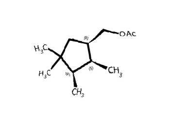 CC(=O)OC[C@@H]1CC(C)(C)[C@H](C)[C@@H]1C